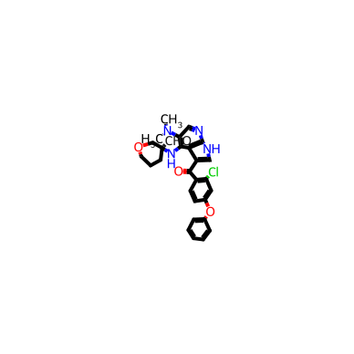 CN(C)c1cnc2[nH]cc(C(=O)c3ccc(Oc4ccccc4)cc3Cl)c2c1NC1(C=O)CCCOC1